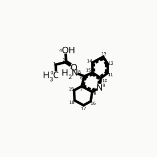 CCC(=O)O.Nc1c2c(nc3ccccc13)CCCC2